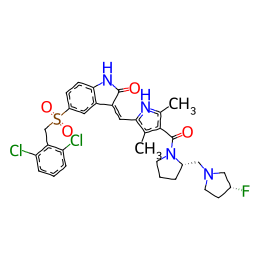 Cc1[nH]c(/C=C2\C(=O)Nc3ccc(S(=O)(=O)Cc4c(Cl)cccc4Cl)cc32)c(C)c1C(=O)N1CCC[C@H]1CN1CC[C@@H](F)C1